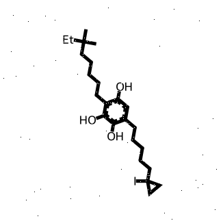 CCC(C)(C)CCCCCc1c(O)cc(CCCCCC2(I)CC2)c(O)c1O